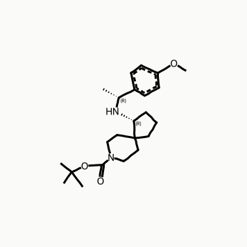 COc1ccc([C@@H](C)N[C@@H]2CCCC23CCN(C(=O)OC(C)(C)C)CC3)cc1